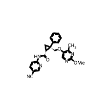 COc1ncc(OC[C@@]2(c3ccccc3)C[C@H]2C(=O)Nc2ccc(C#N)cn2)c(C)n1